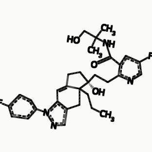 CCCC12Cc3cnn(-c4ccc(F)cc4)c3C=C1CC[C@@]2(O)CCc1ncc(F)cc1C(=O)NC(C)(C)CO